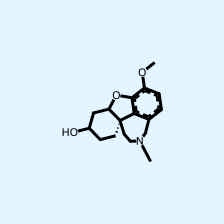 COc1ccc2c3c1OC1CC(O)CC[C@@]31CCN(C)C2